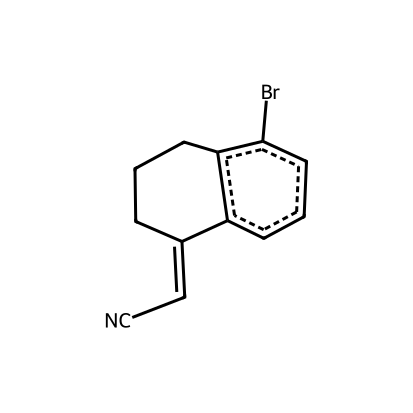 N#CC=C1CCCc2c(Br)cccc21